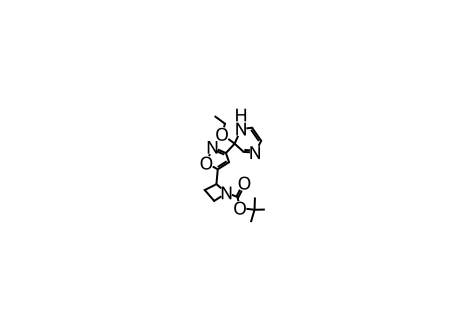 CCOC1(c2cc(C3CCN3C(=O)OC(C)(C)C)on2)C=NC=CN1